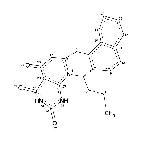 CCCCn1c(Cc2cccc3ccccc23)cc(=O)c2c(=O)[nH]c(=O)[nH]c21